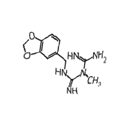 CN(C(=N)N)C(=N)NCc1ccc2c(c1)OCO2